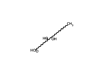 CCCCCCCCCCCCCCCC(O)CCC(O)CCCCCCCCCCC(=O)O